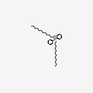 CCCCCCCCCCCC[PH](CCCCCCCCCCCC)(c1ccccc1)c1ccccc1